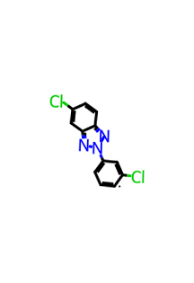 Clc1[c]ccc(-n2nc3ccc(Cl)cc3n2)c1